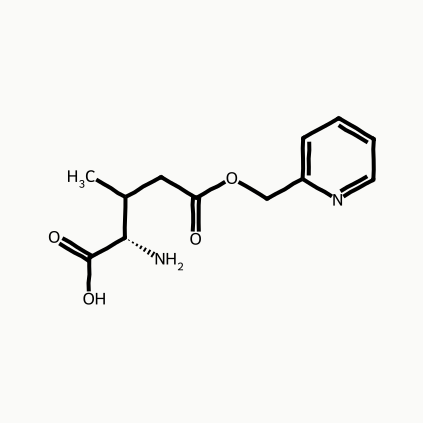 CC(CC(=O)OCc1ccccn1)[C@H](N)C(=O)O